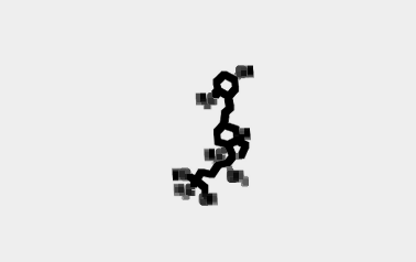 C=C1CC[C@H](O)C/C1=C/C=C1/CC[C@@]2(C)[C@@H](CC[C@@H]2[C@H](C)CCCC(C)(O)CO)C1